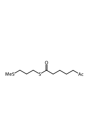 CSCCCSC(=O)CCCCC(C)=O